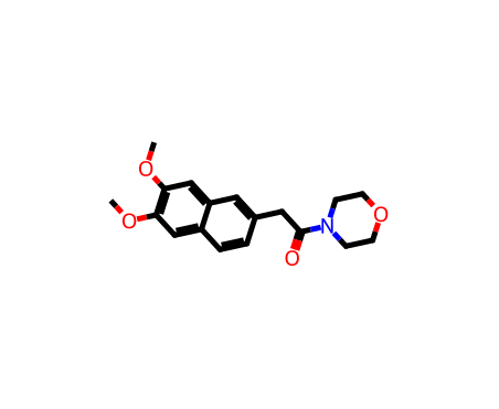 COc1cc2ccc(CC(=O)N3CCOCC3)cc2cc1OC